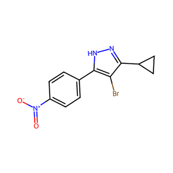 O=[N+]([O-])c1ccc(-c2[nH]nc(C3CC3)c2Br)cc1